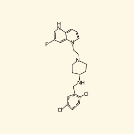 FC1=CNC2=CC=CN(CCN3CCC(NCc4cc(Cl)ccc4Cl)CC3)C2=C1